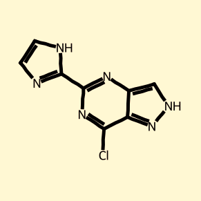 Clc1nc(-c2ncc[nH]2)nc2c[nH]nc12